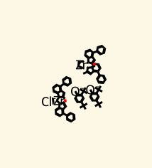 CC(C)(C)c1ccc([O-])c(C(C)(C)C)c1.CC(C)(C)c1ccc([O-])c(C(C)(C)C)c1.CC1=Cc2c(-c3ccccc3)cccc2[CH]1[Zr]1([CH]2C(C)=Cc3c(-c4ccccc4)cccc32)[CH2]CC[CH2]1.CC1=Cc2c(-c3ccccc3)cccc2[CH]1[Zr]1([CH]2C(C)=Cc3c(-c4ccccc4)cccc32)[CH2][CH2]1.[Cl-]